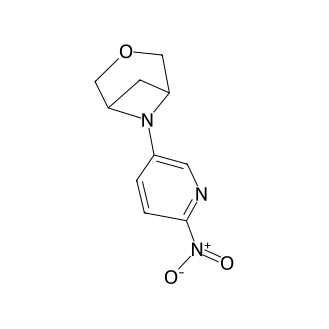 O=[N+]([O-])c1ccc(N2C3COCC2C3)cn1